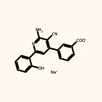 N#Cc1c(-c2cccc(C(=O)[O-])c2)cc(-c2ccccc2O)nc1N.[Na+]